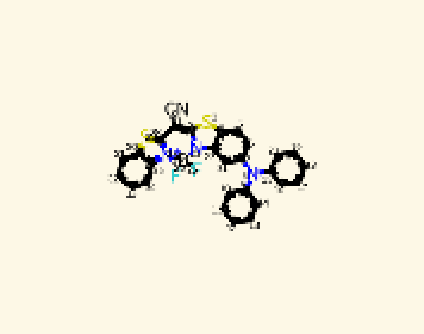 N#CC1=C2Sc3ccc(N(c4ccccc4)c4ccccc4)cc3N2[B-](F)(F)[n+]2c1sc1ccccc12